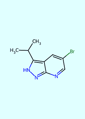 CC(C)c1[nH]nc2ncc(Br)cc12